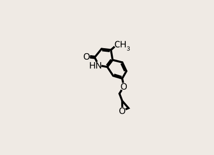 Cc1cc(=O)[nH]c2cc(OCC3CO3)ccc12